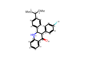 COC(OC)c1ccc(C2Nc3ccccc3C(=O)C2c2ccc(F)cc2)cc1